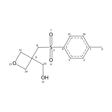 Cc1ccc(S(=O)(=O)CC2(CO)COC2)cc1